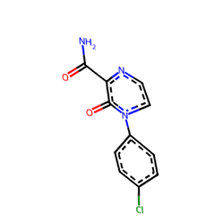 NC(=O)c1nccn(-c2ccc(Cl)cc2)c1=O